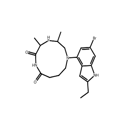 CCc1cc2c(N3CCCC(=O)NC(=O)C(C)PC(C)C3)cc(Br)cc2[nH]1